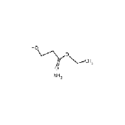 CCOC(=O)CCO.N